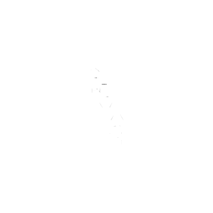 Cc1cocc1C(=O)Nc1ccc(-c2cc3c(cc2C)OC(F)(F)O3)cc1